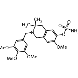 COc1cc2c(cc1OS(N)(=O)=O)CC(C)(C)N(Cc1cc(OC)c(OC)c(OC)c1)C2